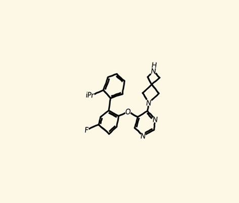 CC(C)c1ccccc1-c1cc(F)ccc1Oc1cncnc1N1CC2(CNC2)C1